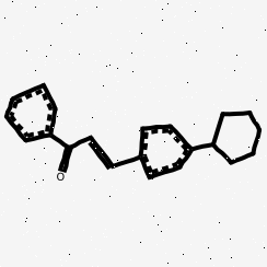 O=C(/C=C/c1ccc(C2CCCCC2)cc1)c1ccccc1